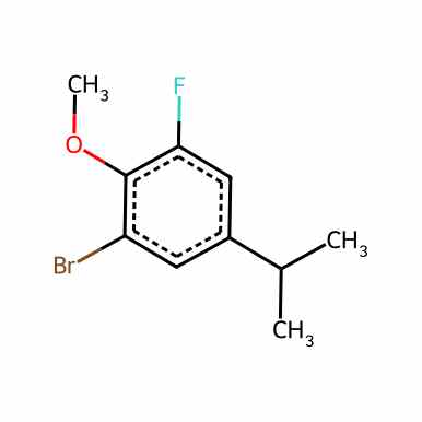 COc1c(F)cc(C(C)C)cc1Br